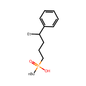 CCCCP(=O)(O)CCCC(CC)c1ccccc1